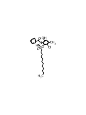 CCCCCCCCCCCCS(=O)(=O)NN(C(=O)c1ccccc1)c1cc(Cl)c(C)cc1O